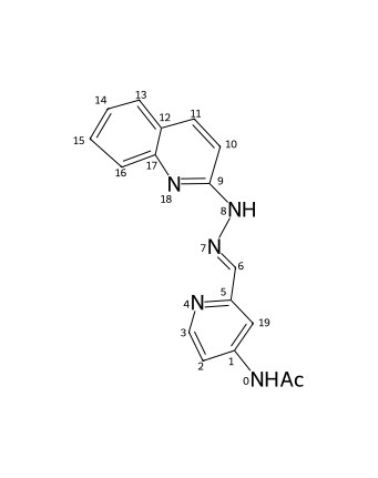 CC(=O)Nc1ccnc(C=NNc2ccc3ccccc3n2)c1